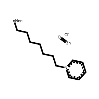 CCCCCCCCCCCCCCCC[n+]1ccccc1.[Cl-].[O]=[Zn]